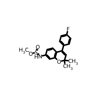 CO[SH](=O)=Nc1ccc2c(c1)OC(C)(C)C=C2c1ccc(F)cc1